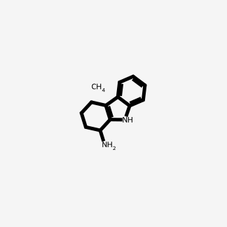 C.NC1CCCc2c1[nH]c1ccccc21